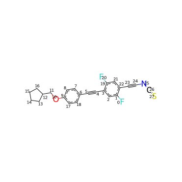 Fc1cc(C#Cc2ccc(OCC3CCCC3)cc2)c(F)cc1C#CN=C=S